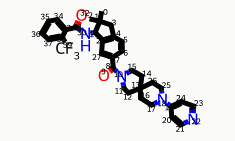 CC1(C)Cc2ccc(C(=O)N3CCC4(CC3)CCN(c3ccncc3)CC4)cc2C1NC(=O)c1ccccc1C(F)(F)F